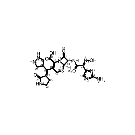 Nc1nc(C(=NO)C(=O)N[C@@H]2C(=O)N3C(C(=O)O)=C(C(=C4CCNC4=O)C4CNNC4)CS[C@H]23)cs1